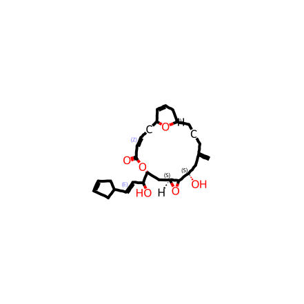 C=C1CCC[C@@H]2CC=CC(C/C=C\C(=O)OC(C(O)/C=C/C3CC=CC3)C[C@@H]3OC3[C@@H](O)C1)O2